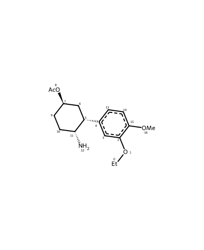 CCOc1cc([C@H]2C[C@H](OC(C)=O)CC[C@H]2N)ccc1OC